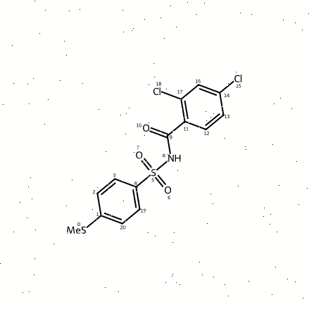 CSc1ccc(S(=O)(=O)NC(=O)c2ccc(Cl)cc2Cl)cc1